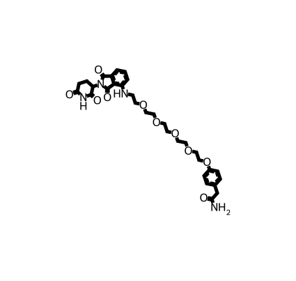 NC(=O)Cc1ccc(OCCOCCOCCOCCOCCNc2cccc3c2C(=O)N(C2CCC(=O)NC2=O)C3=O)cc1